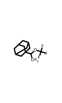 CC(OC(F)(F)F)C12CC3CC(CC(C3)C1)C2